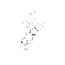 CC1(C)Cc2nc(C3CCCC3)c(C(F)c3ccc(C(F)(F)F)cc3)c(C3CCCCC3)c2[C@@H](O[Si](C)(C)C(C)(C)C)C1